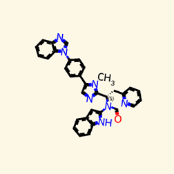 Cn1c(-c2ccc(-n3cnc4ccccc43)cc2)cnc1[C@H](Cc1ccccn1)N(C=O)c1cc2ccccc2[nH]1